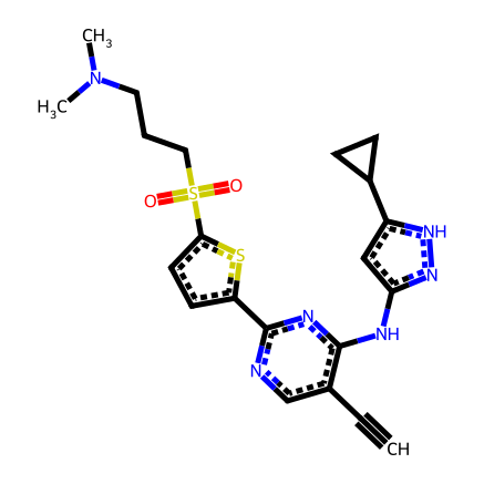 C#Cc1cnc(-c2ccc(S(=O)(=O)CCCN(C)C)s2)nc1Nc1cc(C2CC2)[nH]n1